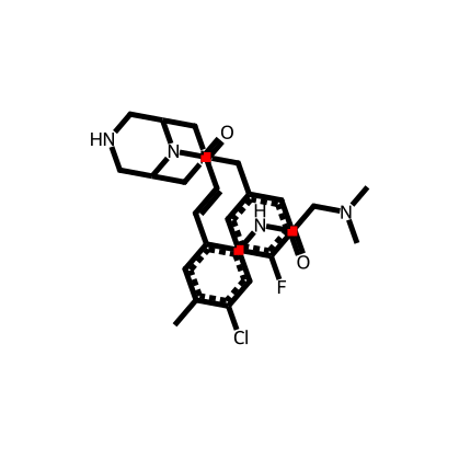 Cc1cc(/C=C/C(=O)N2C3CNCC2CN(Cc2ccc(F)cc2)C3)c(NC(=O)CN(C)C)cc1Cl